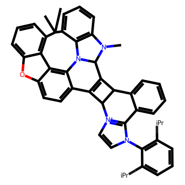 CC(C)c1cccc(C(C)C)c1-n1cc[n+]2c1-c1ccccc1C1C3=C(c4ccc5oc6cccc7c6c5c4N4c5c(cccc5C7(C)C)N(C)C34)C12